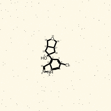 OC1(c2cc(Cl)cc3[nH]ncc23)CC2COCC2C1